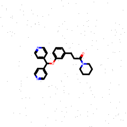 O=C(CCc1cccc(OC(c2ccncc2)c2ccncc2)c1)N1CCCCC1